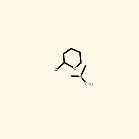 CN(C)C=O.ClC1CCCCO1